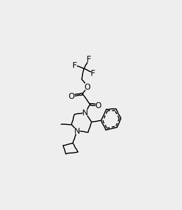 CC1CN(C(=O)C(=O)OCC(F)(F)F)C(c2ccccc2)CN1C1CCC1